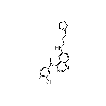 Fc1ccc(Nc2ncnc3ccc(NCCCN4CCCC4)cc23)cc1Cl